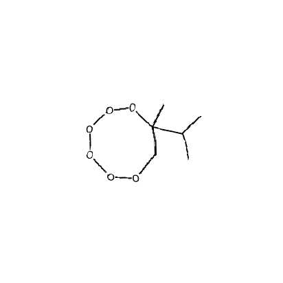 CC(C)C1(C)COOOOOO1